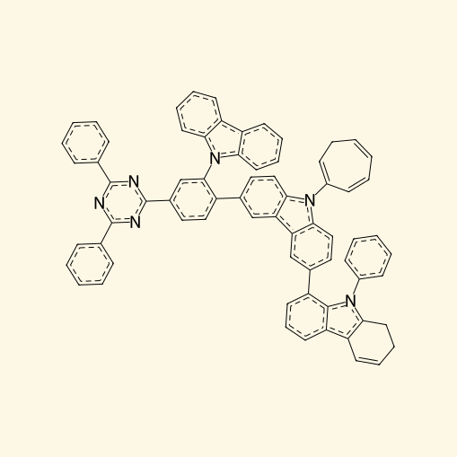 C1=CCC=C(n2c3ccc(-c4ccc(-c5nc(-c6ccccc6)nc(-c6ccccc6)n5)cc4-n4c5ccccc5c5ccccc54)cc3c3cc(-c4cccc5c6c(n(-c7ccccc7)c45)CCC=C6)ccc32)C=C1